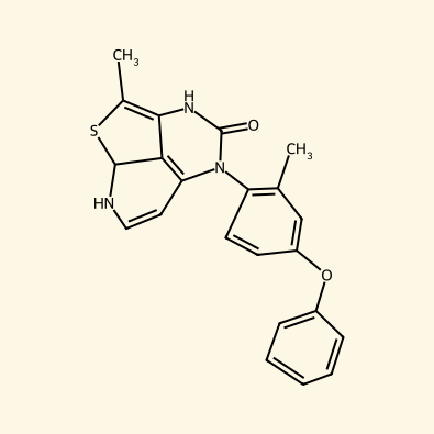 CC1=C2NC(=O)N(c3ccc(Oc4ccccc4)cc3C)C3=C2C(NC=C3)S1